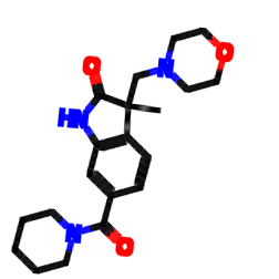 CC1(CN2CCOCC2)C(=O)Nc2cc(C(=O)N3CCCCC3)ccc21